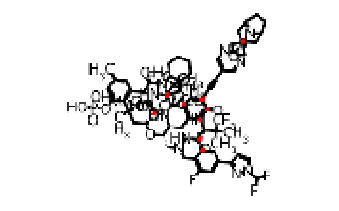 COC(=O)N[C@H](C(=O)N[C@@H](Cc1ccc(C#Cc2cnc(N3CC4CCC(C3)N4C3COC3)nc2)cc1)[C@H](CN(Cc1c(F)cc(-c2ccn(C(F)F)n2)cc1F)NC(=O)[C@@H](NC(=O)OC)C(C)(C)C(F)(F)F)OC(=O)CC(C)(C)c1c(CC(=O)N2[C@H](C(=O)O)C[C@@H]3CCCC[C@@H]32)cc(C)cc1OP(=O)(O)O)C(C)(C)C(F)(F)F